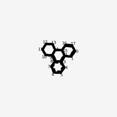 C1=CC2=c3ccccc3=C3CCCCC3C2C=C1